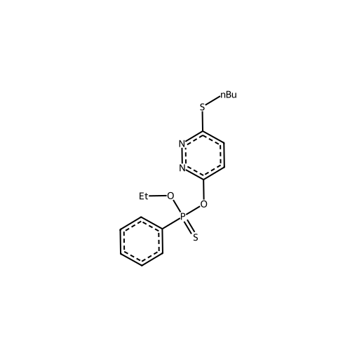 CCCCSc1ccc(OP(=S)(OCC)c2ccccc2)nn1